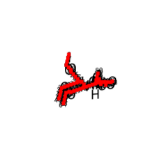 CCCCCC/C=C\COC(=O)CCCCCCCCN(CCCCCCCCC(=O)OC/C=C\CCCCCC)CCCN(CCCCCCCCC(=O)OC/C=C\CCCCCC)CCCCCC(=O)Nc1nc(OCCCC)nc2c1[nH]c(=O)n2Cc1cccc(CC(=O)OC)c1